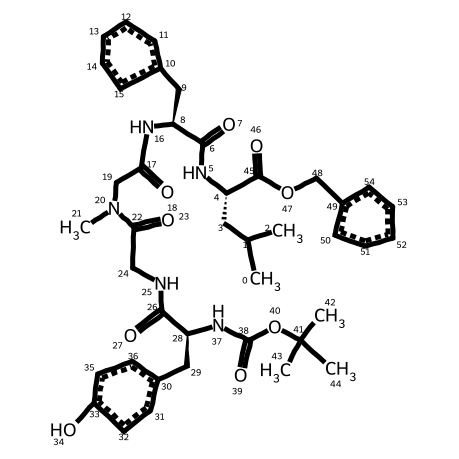 CC(C)C[C@H](NC(=O)[C@H](Cc1ccccc1)NC(=O)CN(C)C(=O)CNC(=O)[C@H](Cc1ccc(O)cc1)NC(=O)OC(C)(C)C)C(=O)OCc1ccccc1